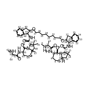 CN[C@@H](C)C(=O)N[C@H]1CCS[C@H]2CC(C)(C)[C@@H](C(=O)N[C@H]3c4ccccc4C[C@H]3OCCCCCCCCO[C@@H]3Cc4ccccc4[C@@H]3NC(=O)[C@H]3N4C(=O)[C@@H](NC(=O)[C@H](C)NC)CCS[C@@]4(C)CC3(C)C)N2C1=O